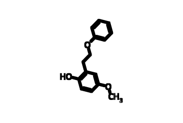 COc1ccc(O)c(CCOc2ccccc2)c1